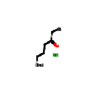 CCCCCCCCC(=O)CC(C)=O.Cl